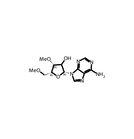 COC[C@H]1O[C@@H](n2cnc3c(N)ncnc32)C(O)[C@H]1OC